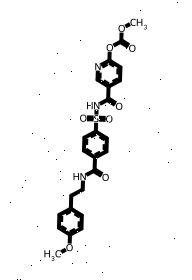 COC(=O)Oc1ccc(C(=O)NS(=O)(=O)c2ccc(C(=O)NCCc3ccc(OC)cc3)cc2)cn1